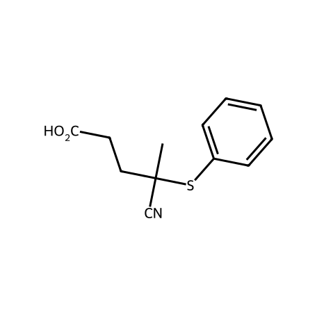 CC(C#N)(CCC(=O)O)Sc1ccccc1